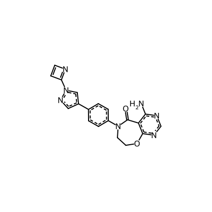 Nc1ncnc2c1C(=O)N(c1ccc(-c3cnn(C4=NC=C4)c3)cc1)CCO2